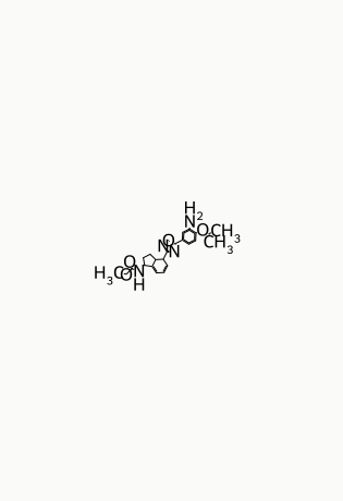 COC(=O)N[C@H]1CCC2C1=CC=CC2c1noc(-c2ccc(OC(C)C)c(N)c2)n1